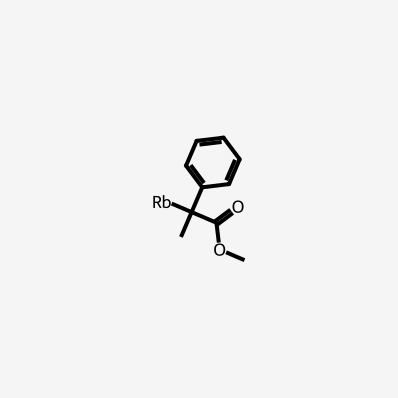 COC(=O)[C](C)([Rb])c1ccccc1